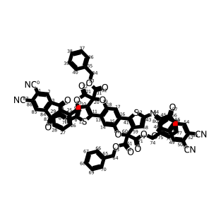 N#Cc1cc2c(=O)c(=Nc3cc4c(s3)-c3cc5c(cc3OC4(C(=O)OCc3ccccc3)C(=O)OCc3ccccc3)-c3sc(N=c4c(=O)c6cc(C#N)c(C#N)cc6c4=O)cc3C(C(=O)OCc3ccccc3)(C(=O)OCc3ccccc3)O5)c(=O)c2cc1C#N